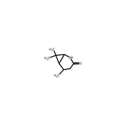 CC1CC(=O)NC2C1C2(C)C